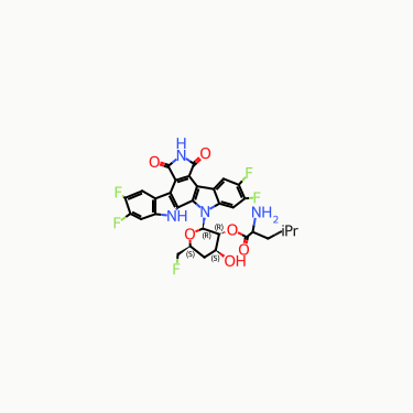 CC(C)CC(N)C(=O)O[C@H]1[C@H](n2c3cc(F)c(F)cc3c3c4c(c5c6cc(F)c(F)cc6[nH]c5c32)C(=O)NC4=O)O[C@H](CF)C[C@@H]1O